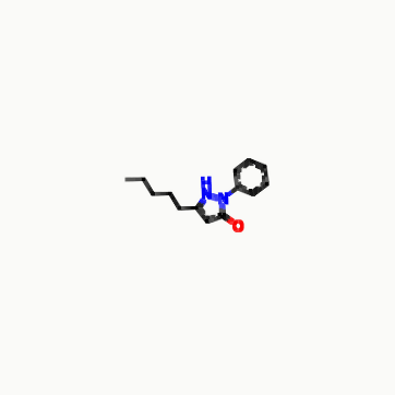 CCCCCc1cc(=O)n(-c2ccccc2)[nH]1